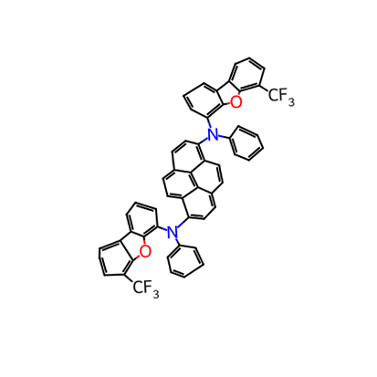 FC(F)(F)c1cccc2c1oc1c(N(c3ccccc3)c3ccc4ccc5c(N(c6ccccc6)c6cccc7c6oc6c(C(F)(F)F)cccc67)ccc6ccc3c4c65)cccc12